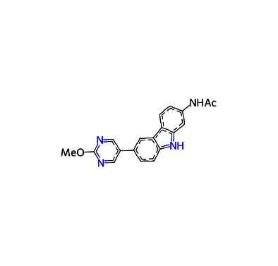 COc1ncc(-c2ccc3[nH]c4cc(NC(C)=O)ccc4c3c2)cn1